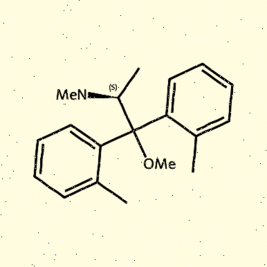 CN[C@@H](C)C(OC)(c1ccccc1C)c1ccccc1C